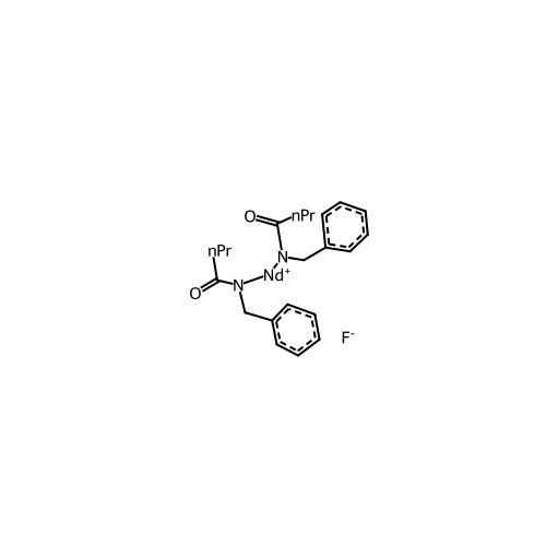 CCCC(=O)[N](Cc1ccccc1)[Nd+][N](Cc1ccccc1)C(=O)CCC.[F-]